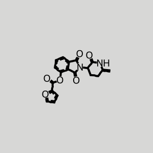 C=C1CCC(N2C(=O)c3cccc(OC(=O)c4ccco4)c3C2=O)C(=O)N1